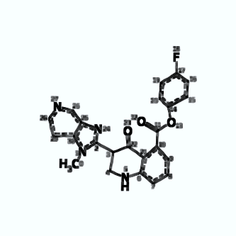 Cn1c(C2CNc3cccc(C(=O)Oc4ccc(F)cc4)c3C2=O)nc2cnccc21